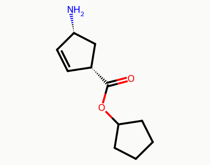 N[C@H]1C=C[C@@H](C(=O)OC2CCCC2)C1